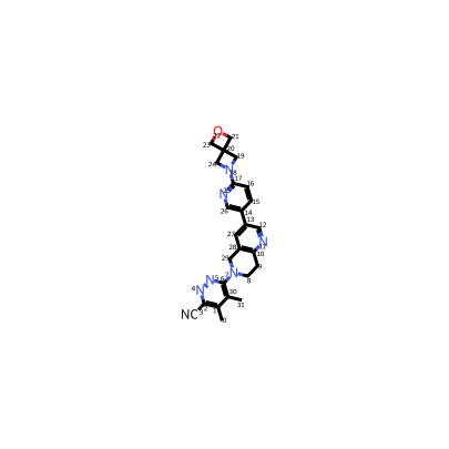 Cc1c(C#N)nnc(N2CCc3ncc(-c4ccc(N5CC6(COC6)C5)nc4)cc3C2)c1C